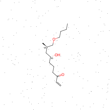 C=CC(=O)CCC[C@@H](O)C[C@@H](C)COCCCC